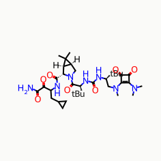 CN(C)c1c(N(C)C[C@@H](NC(=O)N[C@H](C(=O)N2C[C@H]3[C@@H]([C@H]2C(=O)NC(CC2CC2)C(=O)C(N)=O)C3(C)C)C(C)(C)C)C(C)(C)C)c(=O)c1=O